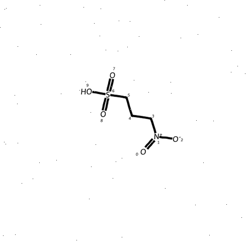 O=[N+]([O-])CCCS(=O)(=O)O